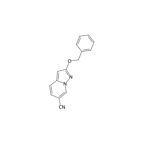 N#Cc1ccc2cc(OCc3ccccc3)nn2c1